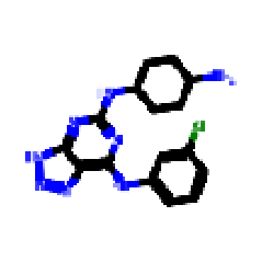 NC1CCC(Nc2nc(Nc3cccc(Cl)c3)c3nn[nH]c3n2)CC1